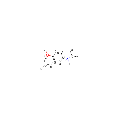 COc1ccc(N(C)C(C)C)cc1CC(C)C